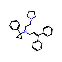 C(CN(CCN1CCCC1)C1(c2ccccc2)CC1)=C(c1ccccc1)c1ccccc1